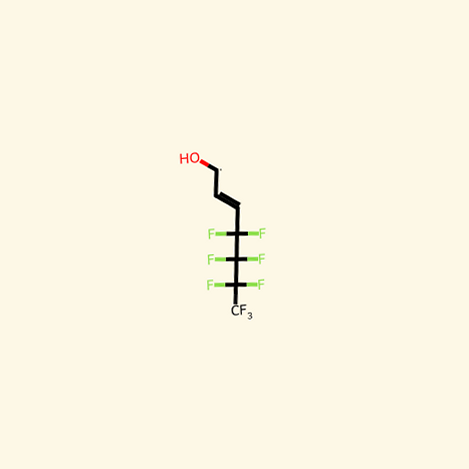 O[CH]C=CC(F)(F)C(F)(F)C(F)(F)C(F)(F)F